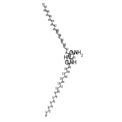 CCCCCCCCCCCCCCCCCCCCCC(=O)NC(CCN)NC(=O)CCCCCCCCCCCCCCCCCCCCC